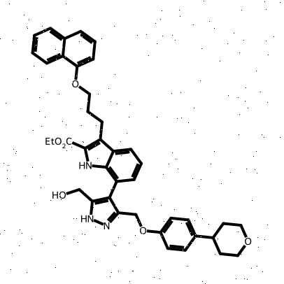 CCOC(=O)c1[nH]c2c(-c3c(COc4ccc(C5CCOCC5)cc4)n[nH]c3CO)cccc2c1CCCOc1cccc2ccccc12